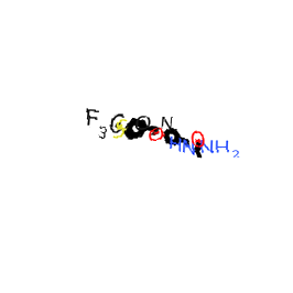 CC(NCc1ccc(OCc2ccc(SC(F)(F)F)cc2)c([N+](=O)[O-])c1)C(N)=O